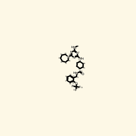 CNc1nc(N[C@H]2CC[C@@H](C(=O)NCc3ccccc3OC(F)(F)F)CC2)nc(N2CCCCCC2)n1